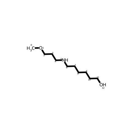 COCCCNCCCCCCO